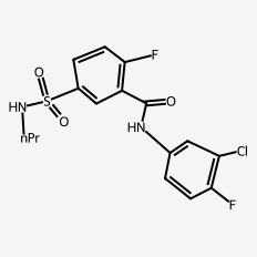 CCCNS(=O)(=O)c1ccc(F)c(C(=O)Nc2ccc(F)c(Cl)c2)c1